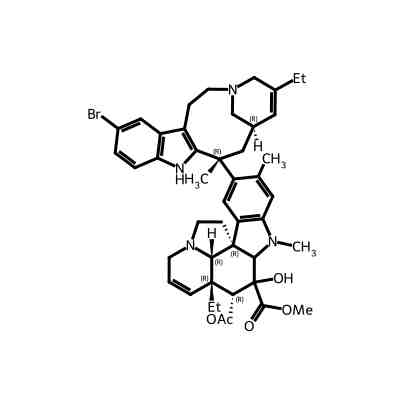 CCC1=C[C@@H]2CN(CCc3c([nH]c4ccc(Br)cc34)[C@@](C)(c3cc4c(cc3C)N(C)C3C(O)(C(=O)OC)[C@H](OC(C)=O)[C@]5(CC)C=CCN6CC[C@]43[C@@H]65)C2)C1